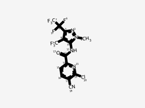 Cn1nc(C(F)(F)C(F)(F)F)c(C(F)(F)F)c1NC(=O)c1ccc(C#N)c(Cl)n1